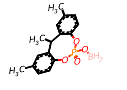 BOP1(=O)Oc2ccc(C)cc2C(C)c2cc(C)ccc2O1